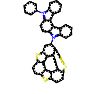 c1ccc(-n2c3ccccc3c3c4c5ccccc5n(-c5cc6sc7ccc8sc9ccc%10sc5c5c6c7c8c9c%105)c4ccc32)cc1